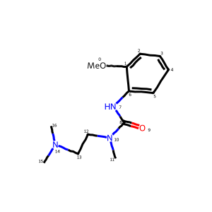 COc1ccccc1NC(=O)N(C)CCN(C)C